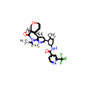 CC1CCC(NC(=O)c2ccnc(C(F)(F)F)c2)CC1c1cnc2c(c1)[C@@H]1CCOC[C@H]1C(=O)N2C(C)C